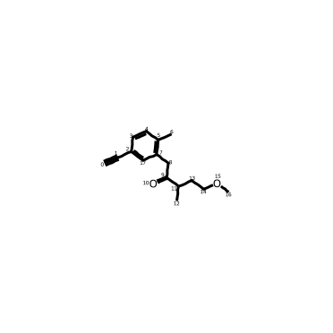 C#Cc1ccc(C)c(CC(=O)C(C)CCOC)c1